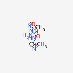 Cc1nc(C(=O)NCc2cccc3ncn(C)c23)c(N)nc1-c1ncco1